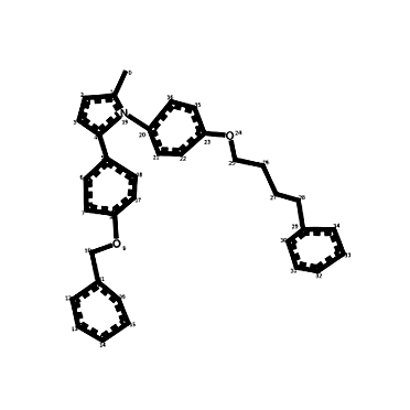 Cc1ccc(-c2ccc(OCc3ccccc3)cc2)n1-c1ccc(OCCCCc2ccccc2)cc1